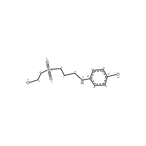 O=S(=O)(CCCl)CCCNc1ccc(Cl)cc1